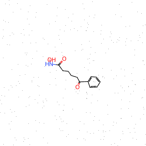 O=C(CCCCC(=O)c1ccccc1)NO